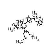 COCCN(CC1CC1C)c1cc(-c2nnc(C(C)(N)Cc3ncco3)o2)c(Cl)c(N(C)S(C)(=O)=O)n1